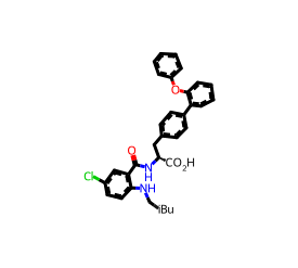 CCC(C)CNc1ccc(Cl)cc1C(=O)N[C@@H](Cc1ccc(-c2ccccc2Oc2ccccc2)cc1)C(=O)O